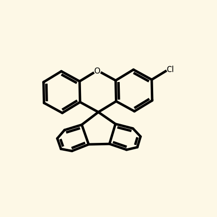 Clc1ccc2c(c1)Oc1ccccc1C21c2ccccc2-c2ccccc21